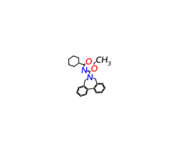 CCO/C(=N\C(=O)C1CCCCC1)N1Cc2ccccc2-c2ccccc2C1